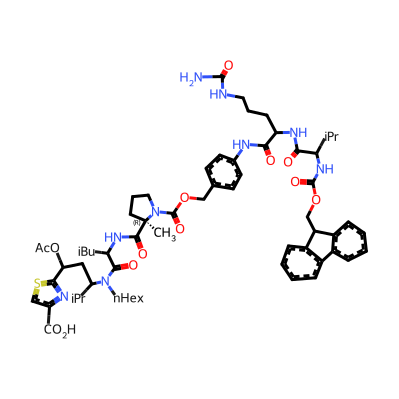 CCCCCCN(C(=O)C(NC(=O)[C@@]1(C)CCCN1C(=O)OCc1ccc(NC(=O)C(CCCNC(N)=O)NC(=O)C(NC(=O)OCC2c3ccccc3-c3ccccc32)C(C)C)cc1)C(C)CC)C(CC(OC(C)=O)c1nc(C(=O)O)cs1)C(C)C